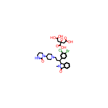 CN1C(=O)c2ccccc2C1C(CCN1CCC(N2CCCNC2=O)CC1)c1ccc(Br)c(Cl)c1.O=C(O)CC(O)(CC(=O)O)C(=O)O